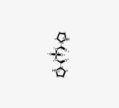 O=C(OS(=O)(=O)OC(=O)[C@@H]1CCCN1)[C@@H]1CCCN1